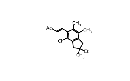 CCC1(C)Cc2c(C)c(C)c(C=CC(C)=O)c(Cl)c2C1